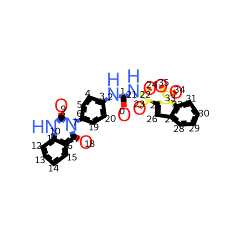 O=C(Nc1ccc(-n2c(=O)[nH]c3ccccc3c2=O)cc1)NS(=O)(=O)C1=Cc2ccccc2S1(=O)=O